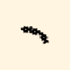 Cc1ccc(C(=O)Oc2ccc(OCC[n+]3ccc(N(C)C)cc3)cc2)cc1